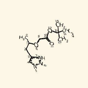 CC(Cc1cnn[nH]1)OCC(=O)OC(C)(C)C